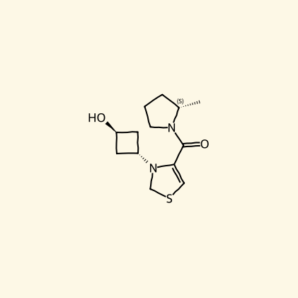 C[C@H]1CCCN1C(=O)C1=CSCN1[C@H]1C[C@H](O)C1